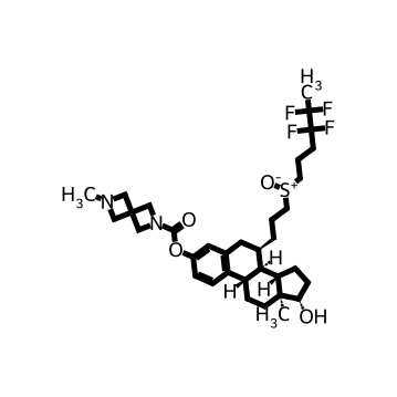 CN1CC2(C1)CN(C(=O)Oc1ccc3c(c1)C[C@@H](CCC[S+]([O-])CCCC(F)(F)C(C)(F)F)[C@@H]1[C@@H]3CC[C@]3(C)[C@@H](O)CC[C@@H]13)C2